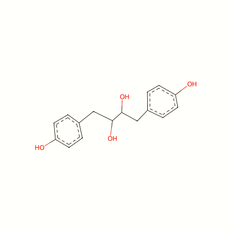 Oc1ccc(CC(O)C(O)Cc2ccc(O)cc2)cc1